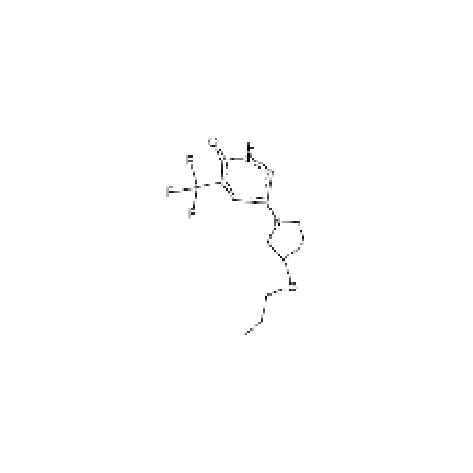 CCCOC1CCN(c2c[nH]c(=O)c(C(F)(F)F)c2)C1